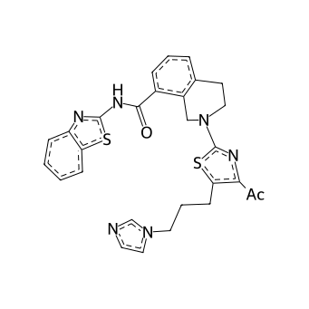 CC(=O)c1nc(N2CCc3cccc(C(=O)Nc4nc5ccccc5s4)c3C2)sc1CCCn1ccnc1